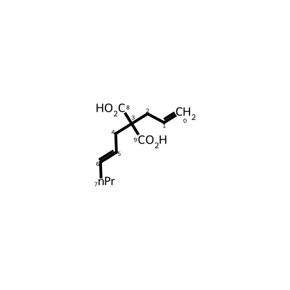 C=CCC(C/C=C/CCC)(C(=O)O)C(=O)O